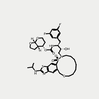 CC(C)Nc1nc2cc3c(cc2s1)S(=O)(=O)N(C[C@@H](O)[C@H](Cc1cc(F)cc(F)c1)NC(=O)O[C@H]1CCO[C@H]2OCC[C@H]21)CCCCCCCOC3